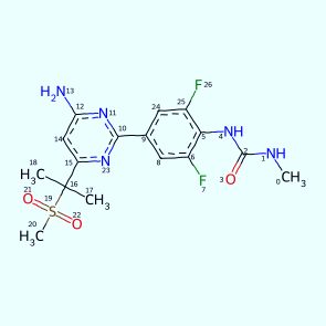 CNC(=O)Nc1c(F)cc(-c2nc(N)cc(C(C)(C)S(C)(=O)=O)n2)cc1F